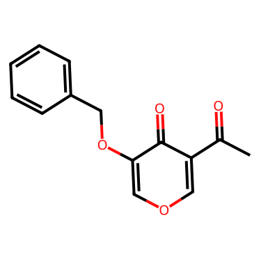 CC(=O)c1cocc(OCc2ccccc2)c1=O